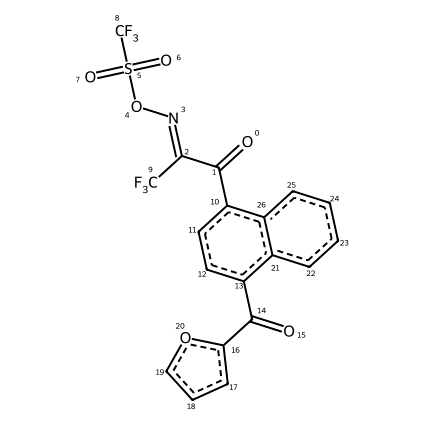 O=C(/C(=N/OS(=O)(=O)C(F)(F)F)C(F)(F)F)c1ccc(C(=O)c2ccco2)c2ccccc12